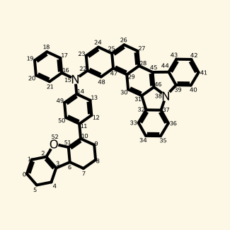 C1=CC2=C(CC1)C1CCCC(c3ccc(N(c4ccccc4)c4ccc5ccc6c(cc7c8ccccc8n8c9ccccc9c6c78)c5c4)cc3)=C1O2